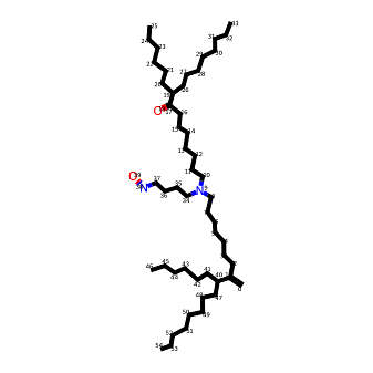 C=C(CCCCCCCN(CCCCCCCC(=O)C(CCCCCC)CCCCCCCC)CCCCN=O)C(CCCCCC)CCCCCCCC